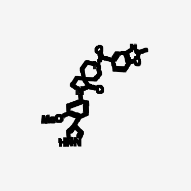 COc1cc(N2CCC3(CCN(C(=O)c4ccc5oc(C)nc5c4)CC3)C2=O)ccc1-c1cn[nH]c1